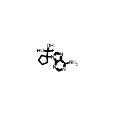 Nc1ncnc2c1ncn2C1(C(O)(O)F)CCCC1